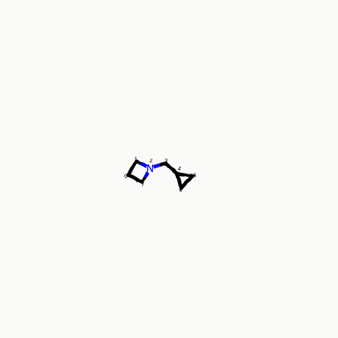 C1CN(CC2CC2)C1